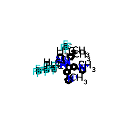 C[n+]1ccccc1-c1ccc2c(c1)c1cc(-c3cccc[n+]3C)ccc1c1c2n(-c2ccc(C(C)(C)C)cc2)c(-c2cccc[n+]2C)[n+]1C.F[B-](F)(F)F.F[B-](F)(F)F.F[B-](F)(F)F.F[B-](F)(F)F